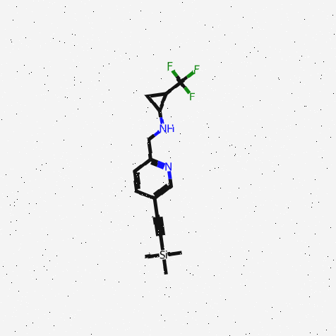 C[Si](C)(C)C#Cc1ccc(CNC2CC2C(F)(F)F)nc1